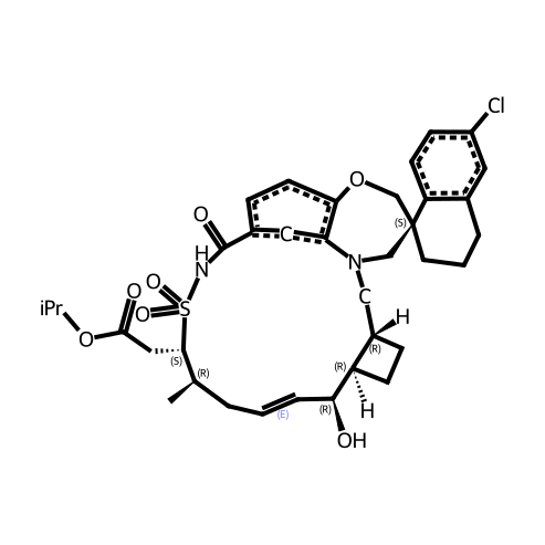 CC(C)OC(=O)C[C@H]1[C@H](C)C/C=C/[C@H](O)[C@@H]2CC[C@H]2CN2C[C@@]3(CCCc4cc(Cl)ccc43)COc3ccc(cc32)C(=O)NS1(=O)=O